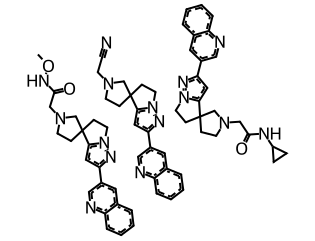 CONC(=O)CN1CCC2(CCn3nc(-c4cnc5ccccc5c4)cc32)C1.N#CCN1CCC2(CCn3nc(-c4cnc5ccccc5c4)cc32)C1.O=C(CN1CCC2(CCn3nc(-c4cnc5ccccc5c4)cc32)C1)NC1CC1